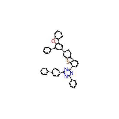 c1ccc(-c2ccc(-c3nc(-c4ccccc4)nc(-c4cccc5c4sc4cc(-c6cc(-c7ccccc7)c7oc8ccccc8c7c6)ccc45)n3)cc2)cc1